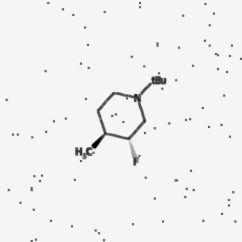 C[C@H]1CCN(C(C)(C)C)C[C@@H]1F